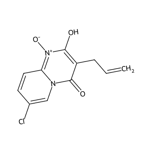 C=CCc1c(O)[n+]([O-])c2ccc(Cl)cn2c1=O